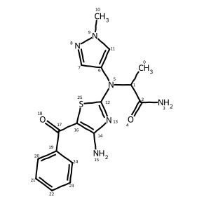 CC(C(N)=O)N(c1cnn(C)c1)c1nc(N)c(C(=O)c2ccccc2)s1